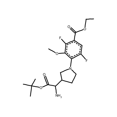 CCOC(=O)c1cc(F)c(N2CCC(C(N)C(=O)OC(C)(C)C)C2)c(OC)c1F